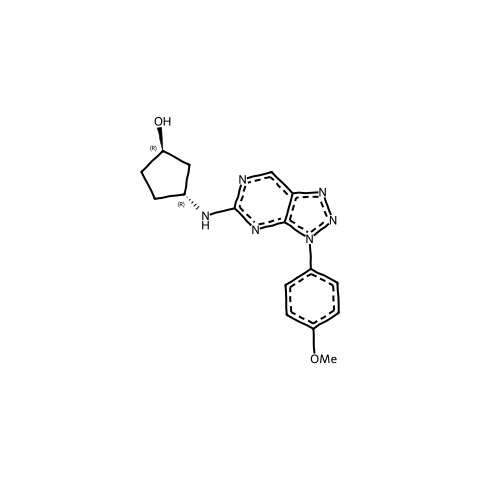 COc1ccc(-n2nnc3cnc(N[C@@H]4CC[C@@H](O)C4)nc32)cc1